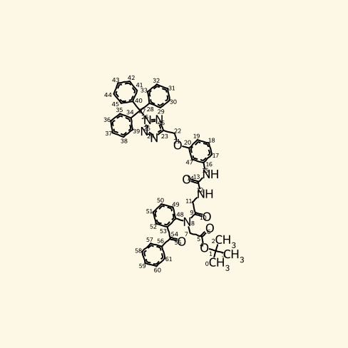 CC(C)(C)OC(=O)CN(C(=O)CNC(=O)Nc1cccc(OCc2nnn(C(c3ccccc3)(c3ccccc3)c3ccccc3)n2)c1)c1ccccc1C(=O)c1ccccc1